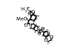 CO[C@H](C(=O)N1CC2=C(C1)CN(S(=O)(=O)c1cnc3c(c1)OCCO3)C2)c1cccc2oc(C)nc12